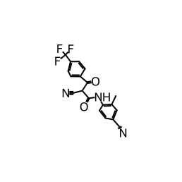 Cc1cc(C#N)ccc1NC(=O)C(C#N)C(=O)c1ccc(C(F)(F)F)cc1